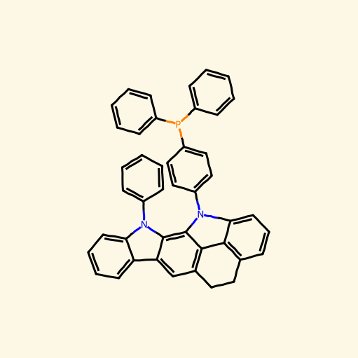 c1ccc(-n2c3ccccc3c3cc4c5c6c(cccc6n(-c6ccc(P(c7ccccc7)c7ccccc7)cc6)c5c32)CC4)cc1